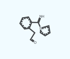 N=C(c1ccccc1CC=O)n1cccc1